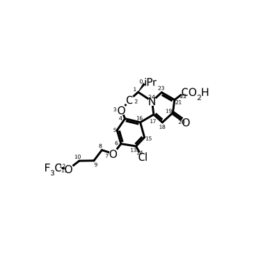 CC(C)[C@@H]1COc2cc(OCCCOC(F)(F)F)c(Cl)cc2-c2cc(=O)c(C(=O)O)cn21